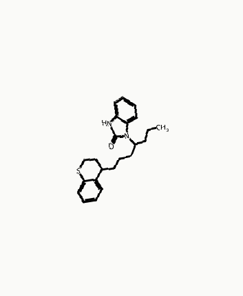 CCCC(CCCC1CCSc2ccccc21)n1c(=O)[nH]c2ccccc21